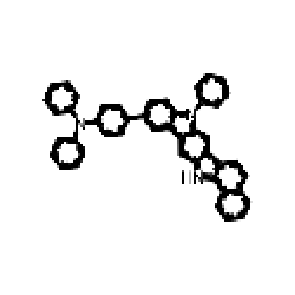 c1ccc(N(c2ccccc2)c2ccc(-c3ccc4c(c3)c3cc5[nH]c6c7ccccc7ccc6c5cc3n4-c3ccccc3)cc2)cc1